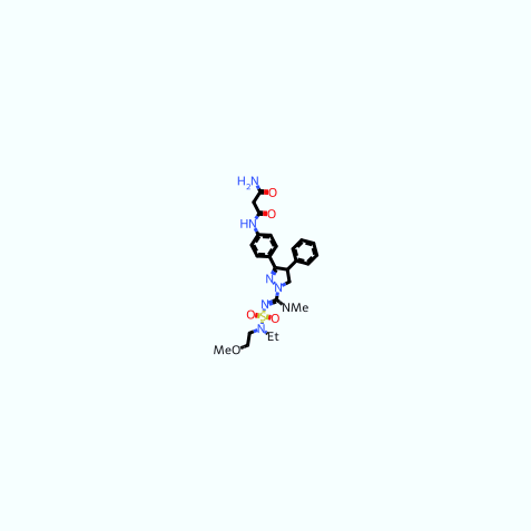 CCN(CCOC)S(=O)(=O)/N=C(\NC)N1CC(c2ccccc2)C(c2ccc(NC(=O)CC(N)=O)cc2)=N1